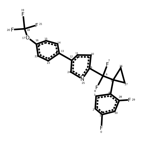 Fc1ccc(C2(C(F)(F)c3ccc(-c4ccc(OC(F)(F)F)cc4)cn3)CC2)c(F)c1